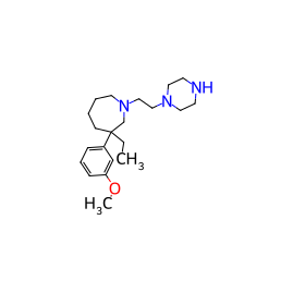 CCC1(c2cccc(OC)c2)CCCCN(CCN2CCNCC2)C1